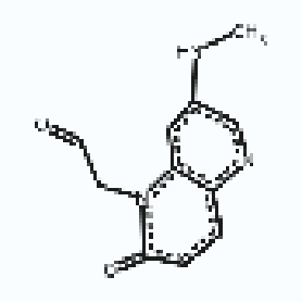 CNc1cnc2ccc(=O)n(CC=O)c2c1